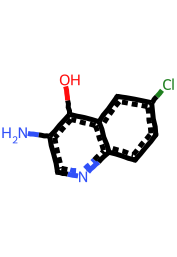 Nc1cnc2ccc(Cl)cc2c1O